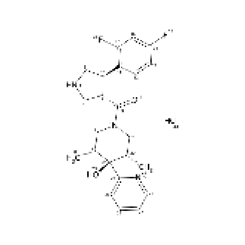 C[C@@H]1CN(C(=O)[C@@H]2CNC[C@H]2c2ccc(F)cc2F)C[C@H](C)[C@]1(O)c1ccccn1.Cl